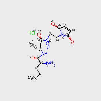 CC[C@H](C)[C@H](NC(=O)[C@@H](N)CCSC)C(=O)NCCN1C(=O)C=CC1=O.Cl